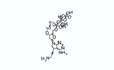 CSS[C@@H](C)OC1C[C@H](n2cc(C#CCN)c3c(N)ncnc32)O[C@@H]1COP(=O)(O)OP(=O)(O)OP(=O)(O)O